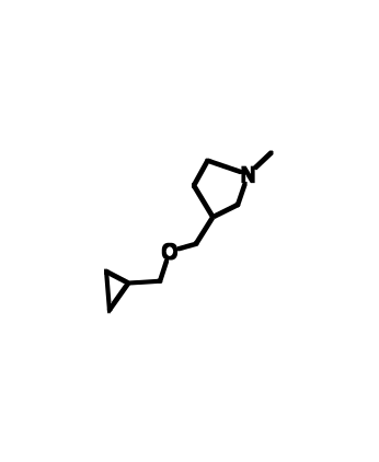 CN1CCC(COCC2CC2)C1